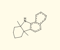 CC12CCCCC1(C)c1ccc3ccccc3c1N2